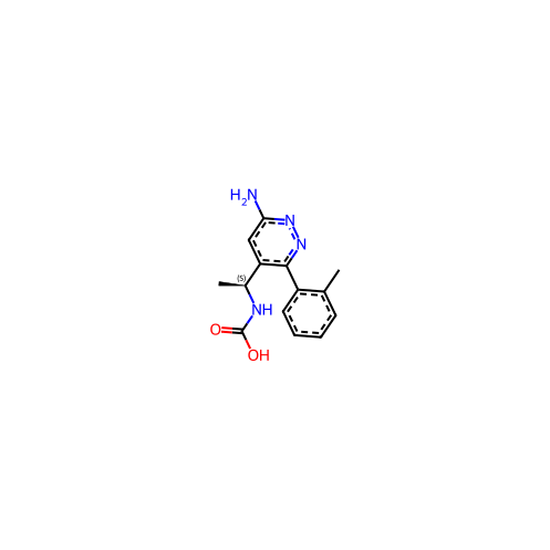 Cc1ccccc1-c1nnc(N)cc1[C@H](C)NC(=O)O